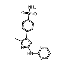 Cc1nc(Nc2ncccn2)sc1-c1ccc(S(N)(=O)=O)cc1